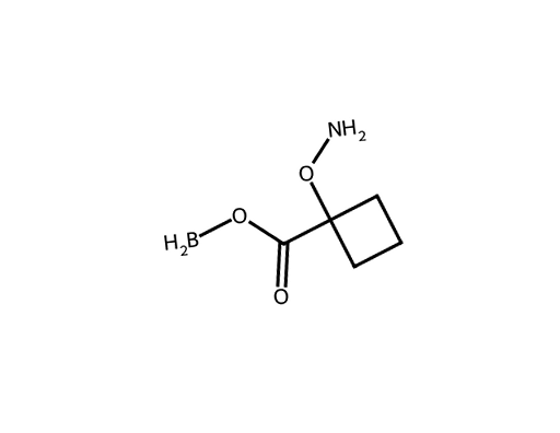 BOC(=O)C1(ON)CCC1